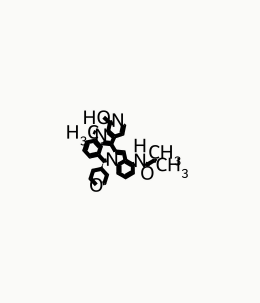 CC(C)C(=O)Nc1cccc2c1cc(-c1cn(C)c3c(O)nccc13)n2[C@@H](c1ccccc1)C1CCOCC1